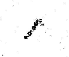 O=C(c1ccc(-c2ccc(OCC3CCN(CC4(F)CCC4)CC3)cc2)cc1)N1CCC[C@@H]1CO